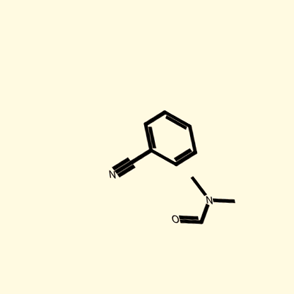 CN(C)C=O.N#Cc1ccccc1